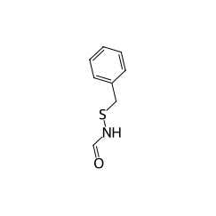 O=CNSCc1ccccc1